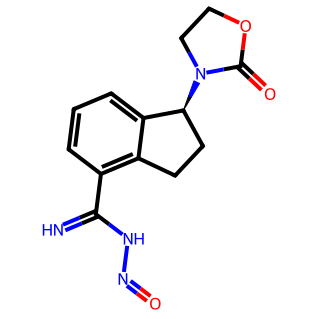 N=C(NN=O)c1cccc2c1CC[C@@H]2N1CCOC1=O